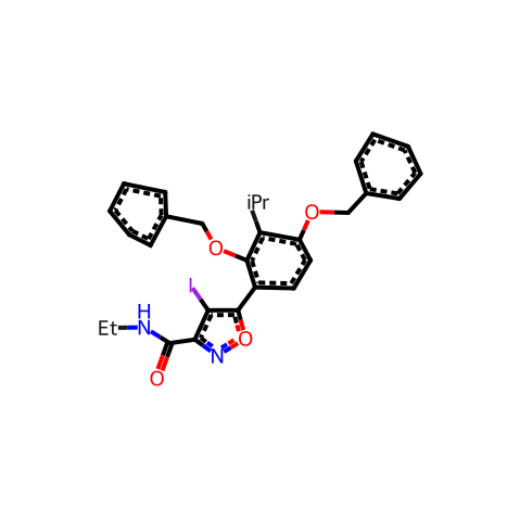 CCNC(=O)c1noc(-c2ccc(OCc3ccccc3)c(C(C)C)c2OCc2ccccc2)c1I